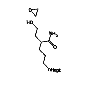 C1CO1.CCCCCCCCCCC(CCO)C(N)=O